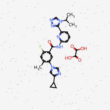 Cc1cc(F)c(C(=O)Nc2cccc(-c3nncn3C(C)C)n2)cc1-n1cnc(C2CC2)c1.O=C(O)C(=O)O